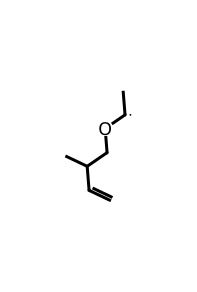 C=CC(C)CO[CH]C